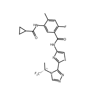 Cc1cc(F)c(C(=O)Nc2csc(-c3nncn3[C@@H](C)C(F)(F)F)n2)cc1NC(=O)C1CC1